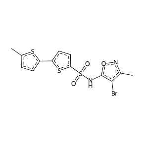 Cc1ccc(-c2ccc(S(=O)(=O)Nc3onc(C)c3Br)s2)s1